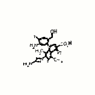 Cc1c(F)c(N2CC(N)C2)c(C)c2c1c(=O)c(C(=O)O)cn2-c1cc(N)c(F)cc1CO